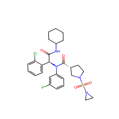 O=C(NC1CCCCC1)[C@H](c1ccccc1Cl)N(C(=O)[C@@H]1CCN(S(=O)(=O)N2CC2)C1)c1cccc(F)c1